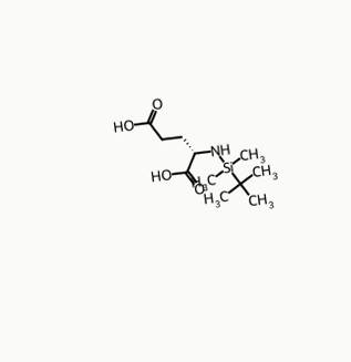 CC(C)(C)[Si](C)(C)N[C@@H](CCC(=O)O)C(=O)O